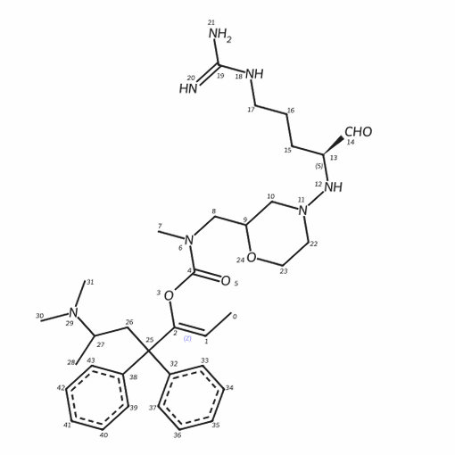 C/C=C(\OC(=O)N(C)CC1CN(N[C@H](C=O)CCCNC(=N)N)CCO1)C(CC(C)N(C)C)(c1ccccc1)c1ccccc1